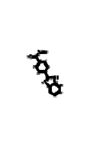 CNC(=O)c1ccc(-c2nc3ccccc3[nH]2)cc1